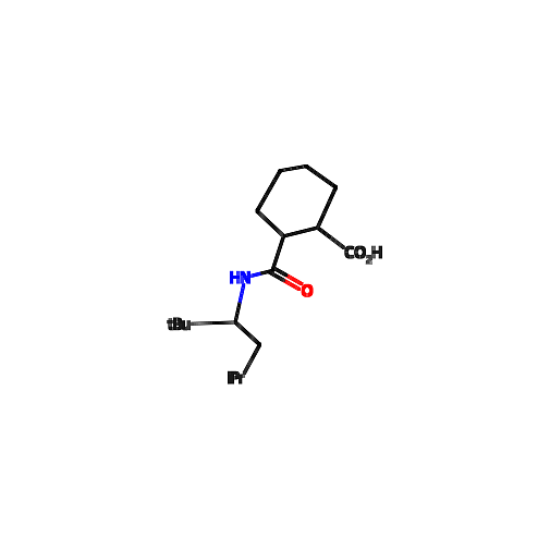 CC(C)CC(NC(=O)C1CCCCC1C(=O)O)C(C)(C)C